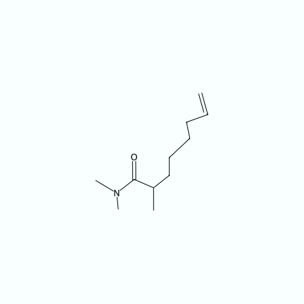 C=CCCCCC(C)C(=O)N(C)C